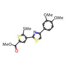 COC(=O)c1cc(-c2nc(-c3ccc(OC)c(OC)c3)cs2)c(SC)s1